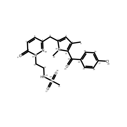 Cc1cc(Cc2ccc(=O)n(CCNS(C)(=O)=O)n2)n(C)c1C(=O)c1ccc(Cl)cc1